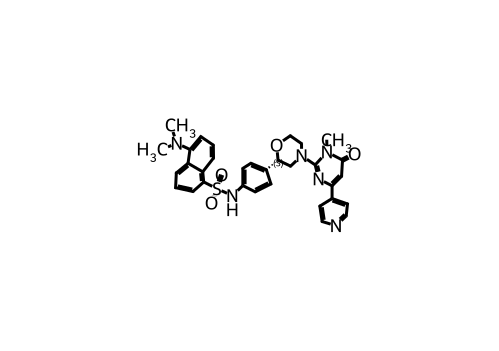 CN(C)c1cccc2c(S(=O)(=O)Nc3ccc([C@H]4CN(c5nc(-c6ccncc6)cc(=O)n5C)CCO4)cc3)cccc12